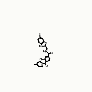 CC1CCN(C(=O)c2ccc(C(=O)NCc3nc4cc(Cl)ccc4[nH]3)cc2Cl)CC1